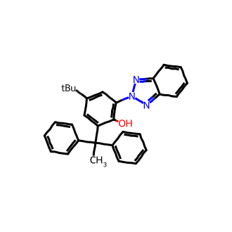 CC(C)(C)c1cc(-n2nc3ccccc3n2)c(O)c(C(C)(c2ccccc2)c2ccccc2)c1